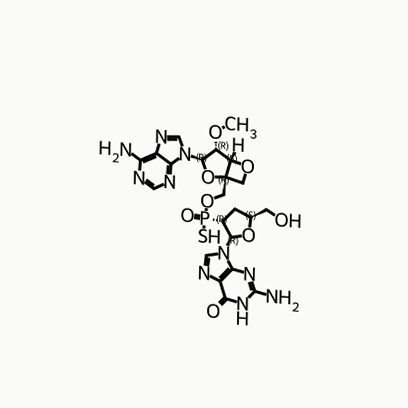 CO[C@H]1[C@H](n2cnc3c(N)ncnc32)O[C@@]2(COP(=O)(S)[C@@H]3C[C@@H](CO)O[C@H]3n3cnc4c(=O)[nH]c(N)nc43)CO[C@@H]12